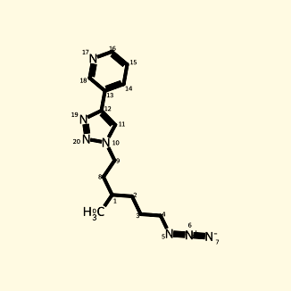 CC(CCCN=[N+]=[N-])CCn1cc(-c2cccnc2)nn1